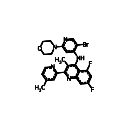 Cc1ccnc(-c2nc3cc(F)cc(F)c3c(Nc3cc(N4CCOCC4)ncc3Br)c2C)c1